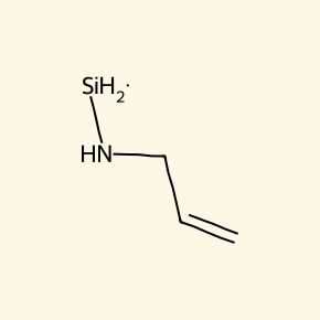 C=CCN[SiH2]